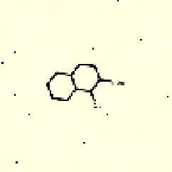 CCCCC1CCC2CCCCC2C1CC